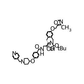 Cc1ncoc1COc1ccc2c(c1)CN(C(=O)OC(C)(C)C)[C@H]([C@H](O)CNC(=O)c1ccc(OC3CCN(Cc4ccncc4)CC3)cc1)C2